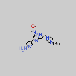 CC(C)(C)N1CCN(Cc2cc3nc(-c4ccc(N)nc4)cc(N4CCOCC4)n3n2)CC1